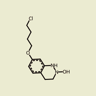 ON1CCc2ccc(OCCCCCl)cc2N1